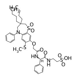 CCCCC1(CCCC)CN(c2ccccc2)c2cc(SC)c(OCC(=O)N[C@@H](C(=O)NCCS(=O)(=O)O)c3ccccc3)cc2S(=O)(=O)C1